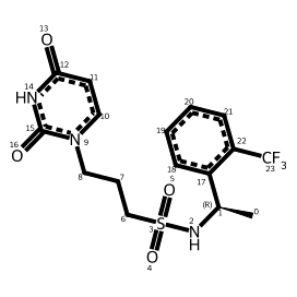 C[C@@H](NS(=O)(=O)CCCn1ccc(=O)[nH]c1=O)c1ccccc1C(F)(F)F